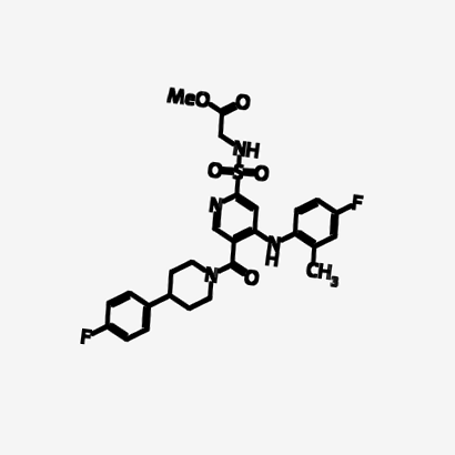 COC(=O)CNS(=O)(=O)c1cc(Nc2ccc(F)cc2C)c(C(=O)N2CCC(c3ccc(F)cc3)CC2)cn1